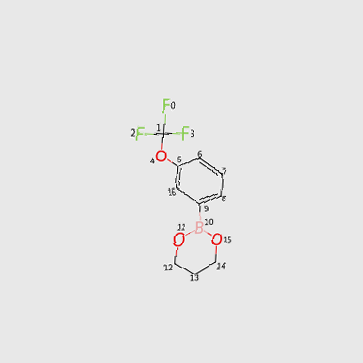 FC(F)(F)Oc1cccc(B2OCCCO2)c1